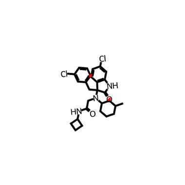 CC1CCCC(N(CC(=O)NC2CCC2)C2(Cc3cccc(Cl)c3)C(=O)Nc3cc(Cl)ccc32)C1